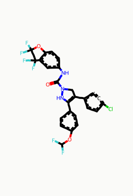 O=C(Nc1ccc2c(c1)C(F)(F)C(F)(F)O2)N1CC(c2ccc(Cl)cc2)=C(c2ccc(OC(F)F)cc2)N1